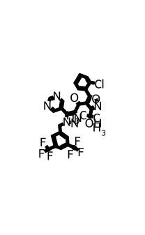 CC(C)(O)c1noc(-c2ccccc2Cl)c1C(=O)c1nnn(Cc2cc(C(F)(F)F)cc(C(F)(F)F)c2)c1-c1cncnc1